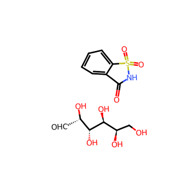 O=C1NS(=O)(=O)c2ccccc21.O=C[C@H](O)[C@@H](O)[C@@H](O)[C@H](O)CO